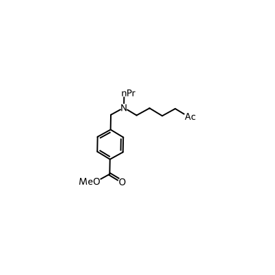 CCCN(CCCCC(C)=O)Cc1ccc(C(=O)OC)cc1